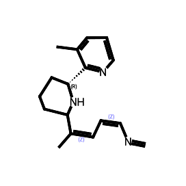 C=N/C=C\C=C(\C)C1CCC[C@H](c2ncccc2C)N1